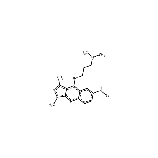 CCNc1ccc2nc3c(c(C)nn3C)c(NCCCN(C)C)c2c1